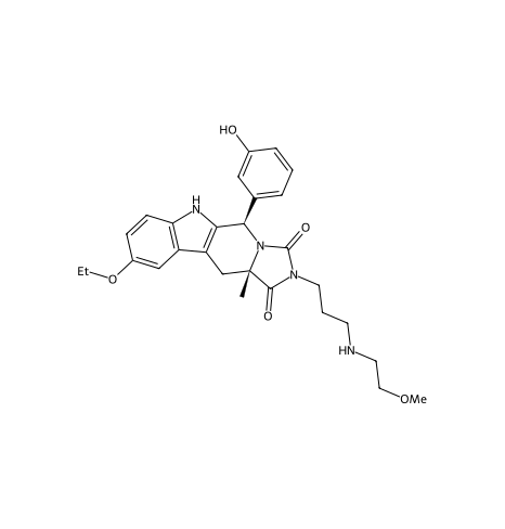 CCOc1ccc2[nH]c3c(c2c1)C[C@@]1(C)C(=O)N(CCCNCCOC)C(=O)N1[C@@H]3c1cccc(O)c1